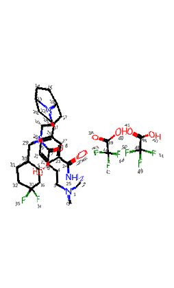 CN(C)CC[C@H](O)C(=O)N(CCN1C2CCC1CC(c1cccc(C(N)=O)c1)C2)CC1CCC(F)(F)CC1.O=C(O)C(F)(F)F.O=C(O)C(F)(F)F